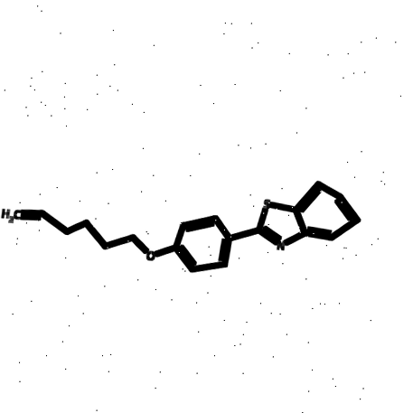 C=CCCCCOc1ccc(-c2nc3ccccc3s2)cc1